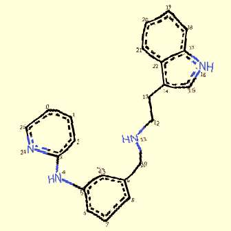 c1ccc(Nc2cccc(CNCCc3c[nH]c4ccccc34)c2)nc1